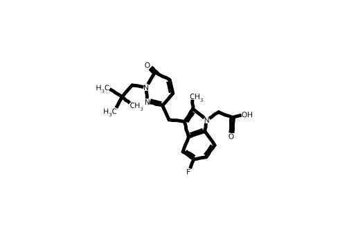 Cc1c(Cc2ccc(=O)n(CC(C)(C)C)n2)c2cc(F)ccc2n1CC(=O)O